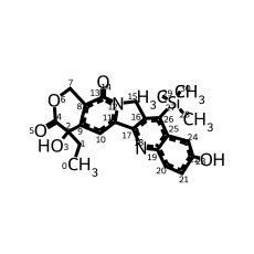 CCC1(O)C(=O)OCc2c1cc1n(c2=O)Cc2c-1nc1ccc(O)cc1c2[Si](C)(C)C